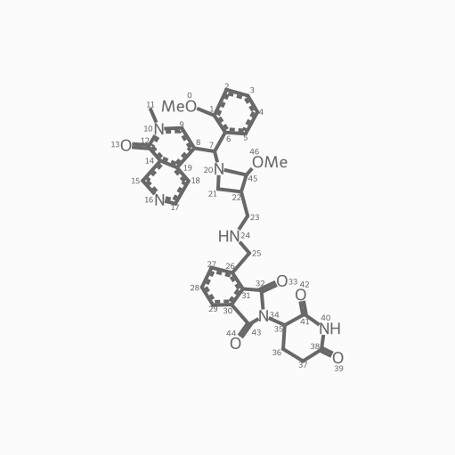 COc1ccccc1C(c1cn(C)c(=O)c2cnccc12)N1CC(CNCc2cccc3c2C(=O)N(C2CCC(=O)NC2=O)C3=O)C1OC